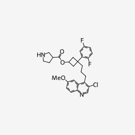 COc1ccc2ncc(Cl)c(CCCC3(c4cc(F)ccc4F)CC(OC(=O)C4CCNC4)C3)c2c1